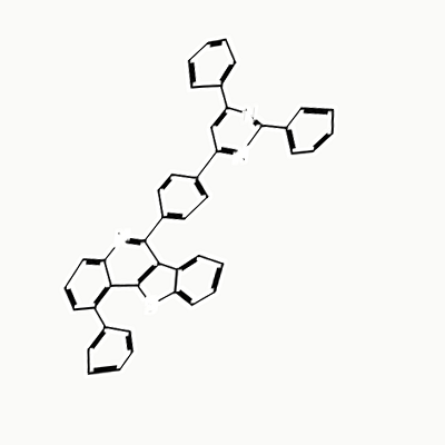 c1ccc(-c2cc(-c3ccc(-c4nc5cccc(-c6ccccc6)c5c5sc6ccccc6c45)cc3)nc(-c3ccccc3)n2)cc1